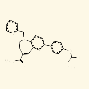 CCCCOC(C)Oc1ccc(-c2ccc3c(c2)C=C(C(=O)OC)CCN3Cc2ccccn2)cc1